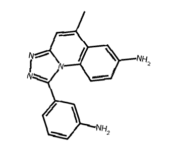 Cc1cc2nnc(-c3cccc(N)c3)n2c2ccc(N)cc12